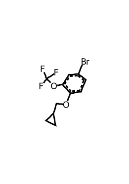 FC(F)(F)Oc1cc(Br)ccc1OCC1CC1